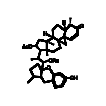 CC(=O)O[C@H]1C[C@@]2(C)[C@@H]3CC[C@H]4[C@H](C)C(=O)C=C[C@@]45C[C@@]35CC[C@]2(C)[C@H]1[C@H](C)[C@@H](OC(C)=O)C12CCC(C)C1Cc1ccc(O)cc1O2